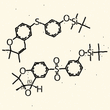 CC1(C)Oc2ccc(S(=O)(=O)c3cccc(O[Si](C)(C)C(C)(C)C)c3)cc2[C@@H]2O[C@@]21C.CC1=Cc2cc(Sc3cccc(O[Si](C)(C)C(C)(C)C)c3)ccc2OC1(C)C